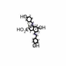 NC(CC1C(/C=C/C2CCC(O)CC2)CC(O)CC1/C=C/C1CCC(O)CC1)C(=O)O